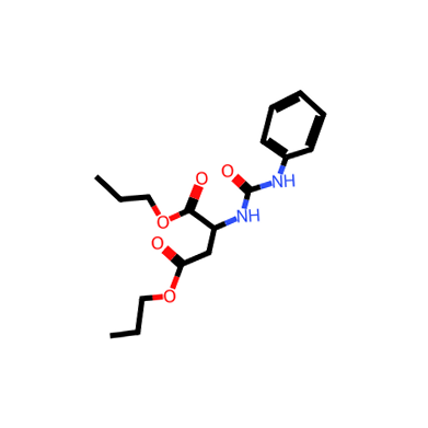 CCCOC(=O)CC(NC(=O)Nc1ccccc1)C(=O)OCCC